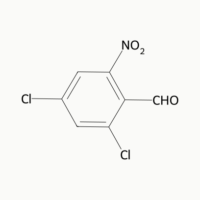 O=Cc1c(Cl)cc(Cl)cc1[N+](=O)[O-]